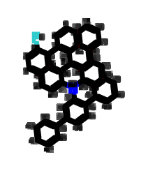 Fc1ccccc1-c1cccc2cccc(-c3ccccc3N(c3cccc(-c4ccccc4)c3)c3cc(-c4ccccc4)ccc3-c3ccccc3)c12